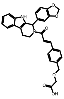 O=C(O)COCc1ccc(/C=C/C(=O)N2CCc3c([nH]c4ccccc34)C2c2ccc3c(c2)OCO3)cc1